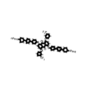 CCCCCC1CCC(c2ccc(-c3ccc(Sc4ccc(Sc5cccc(C(F)(F)F)c5)c5c4C(=O)c4c(Sc6cccc(C(F)(F)F)c6)ccc(Sc6ccc(-c7ccc(C8CCC(CCCCC)CC8)cc7)cc6)c4C5=O)cc3)cc2)CC1